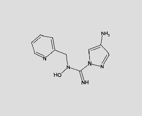 N=C(N(O)Cc1ccccn1)n1cc(N)cn1